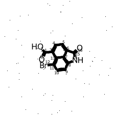 O=C(O)c1ccc2c3c(ccc(Br)c13)NC2=O